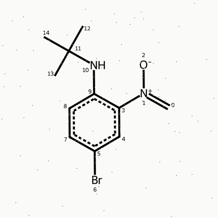 C=[N+]([O-])c1cc(Br)ccc1NC(C)(C)C